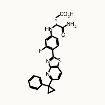 NC(=O)[C@@H](CC(=O)O)Nc1ccc(-c2nc3nc(C4(c5ccccc5)CC4)ccc3s2)c(F)c1